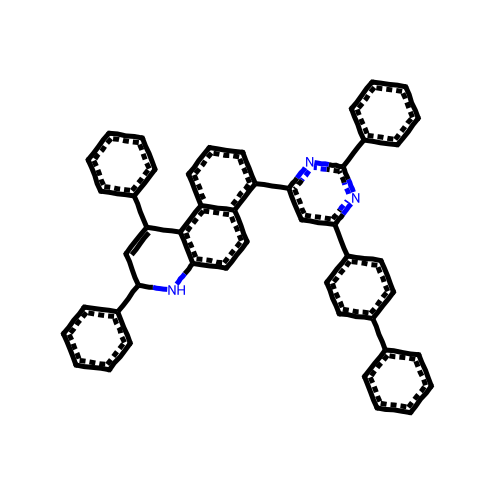 C1=C(c2ccccc2)c2c(ccc3c(-c4cc(-c5ccc(-c6ccccc6)cc5)nc(-c5ccccc5)n4)cccc23)NC1c1ccccc1